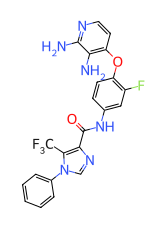 Nc1nccc(Oc2ccc(NC(=O)c3ncn(-c4ccccc4)c3C(F)(F)F)cc2F)c1N